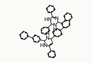 C1=C(c2ccccc2)NC(c2ccc(-c3ccccc3)cc2)NC1c1ccc(-c2ccc3ccccc3c2C2N=C(c3ccccc3)NC(c3ccccc3)N2)cc1